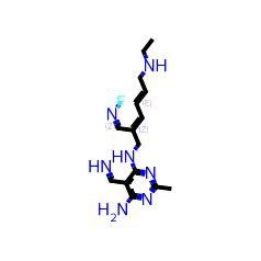 CCNC/C=C/C=C(\C=N/F)CNc1nc(C)nc(N)c1C=N